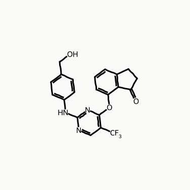 O=C1CCc2cccc(Oc3nc(Nc4ccc(CO)cc4)ncc3C(F)(F)F)c21